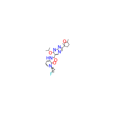 CC(C)Oc1nc2nc(C34CCC(C)(C3)OC4)cn2cc1C(=O)Nc1cccn([C@@H]2C[C@@H]2F)c1=O